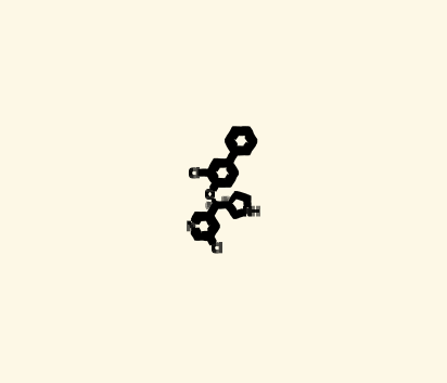 Clc1cncc([C@H](Oc2ccc(-c3ccccc3)cc2Cl)[C@H]2CCNC2)c1